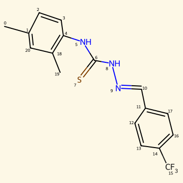 Cc1ccc(NC(=S)NN=Cc2ccc(C(F)(F)F)cc2)c(C)c1